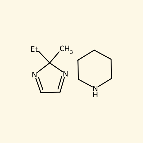 C1CCNCC1.CCC1(C)N=CC=N1